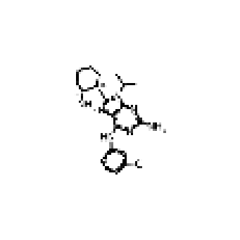 CC(C)n1c([C@@H]2CCCC[C@@H]2N)nc2c(Nc3cccc(Cl)c3)nc(N)nc21